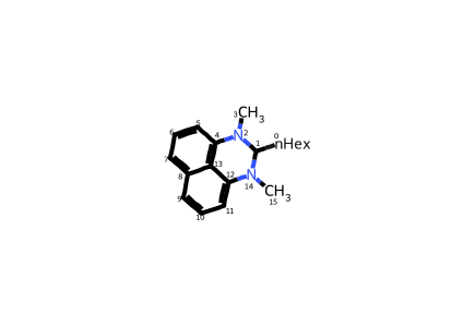 CCCCCCC1N(C)c2cccc3cccc(c23)N1C